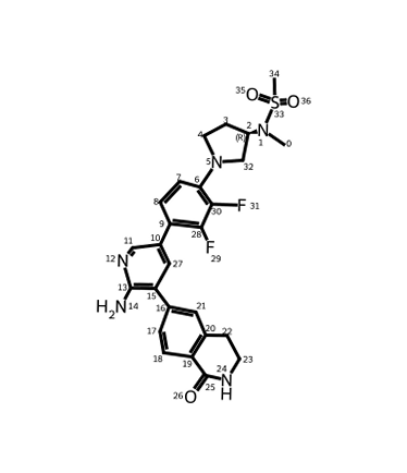 CN([C@@H]1CCN(c2ccc(-c3cnc(N)c(-c4ccc5c(c4)CCNC5=O)c3)c(F)c2F)C1)S(C)(=O)=O